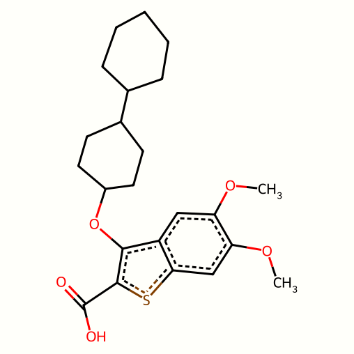 COc1cc2sc(C(=O)O)c(OC3CCC(C4CCCCC4)CC3)c2cc1OC